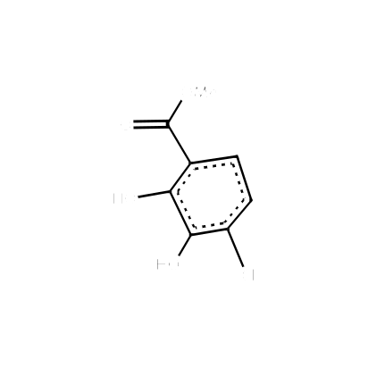 COC(=O)c1ccc(Cl)c(O)c1O